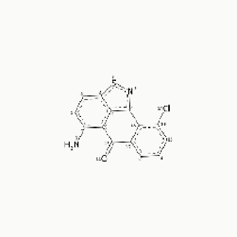 Nc1ccc2snc3c2c1C(=O)c1cccc(Cl)c1-3